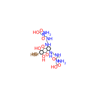 Br.Br.C[C@H](NCCNc1ccc(NCCN[C@@H](C)C(=O)N(N)CC(=O)O)c2c1C(=O)c1c(O)ccc(O)c1C2=O)C(=O)N(N)CC(=O)O